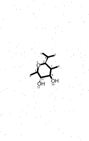 CC1O[C@@H](C(C)C)C(C)C(O)[C@@H]1O